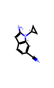 N#Cc1ccc2cc(N)n(C3CC3)c2c1